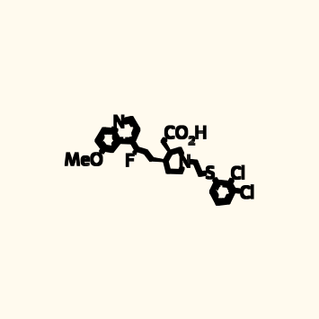 COc1ccc2nccc([C@H](F)CC[C@@H]3CCN(CCSc4cccc(Cl)c4Cl)C[C@@H]3CC(=O)O)c2c1